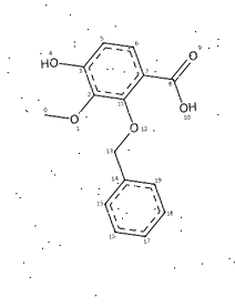 COc1c(O)ccc(C(=O)O)c1OCc1ccccc1